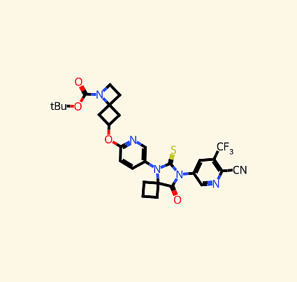 CC(C)(C)OC(=O)N1CCC12CC(Oc1ccc(N3C(=S)N(c4cnc(C#N)c(C(F)(F)F)c4)C(=O)C34CCC4)cn1)C2